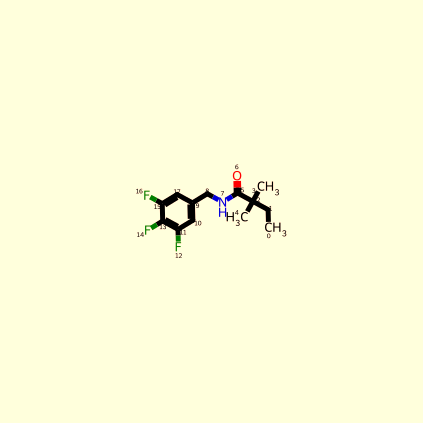 CCC(C)(C)C(=O)NCc1cc(F)c(F)c(F)c1